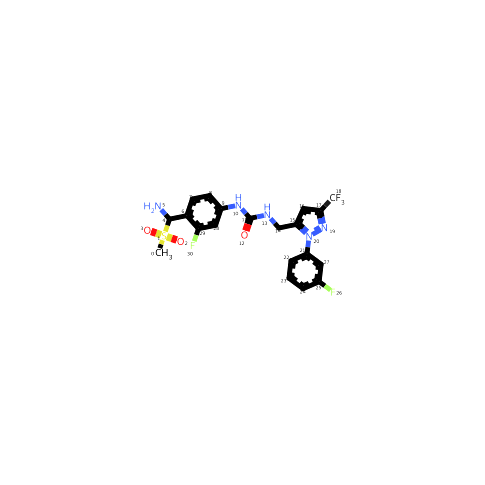 CS(=O)(=O)C(N)c1ccc(NC(=O)NCc2cc(C(F)(F)F)nn2-c2cccc(F)c2)cc1F